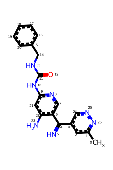 Cc1cc(C(=N)c2cnc(NC(=O)NCc3ccccc3)cc2N)cnn1